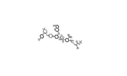 CC1(C)CCC(CN2CCN(c3ccc(C(=O)NS(=O)(=O)c4ccc(NCCCN(C(=O)OC(C)(C)C)C5CC5)c([N+](=O)[O-])c4)c(Oc4cnc5[nH]ccc5c4)c3)CC2)=C(c2ccc(Cl)cc2)C1